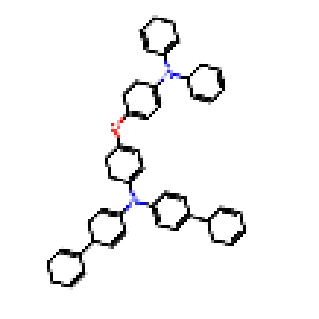 C1=CCC(c2ccc(N(C3=CCC(C4=CCCC=C4)C=C3)C3=CC=C(OC4=CC=C(N(C5=CCCC=C5)C5C=CC=CC5)CC4)CC3)cc2)C=C1